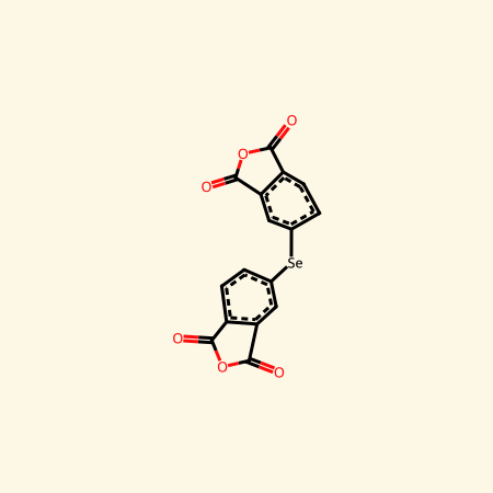 O=C1OC(=O)c2cc([Se]c3ccc4c(c3)C(=O)OC4=O)ccc21